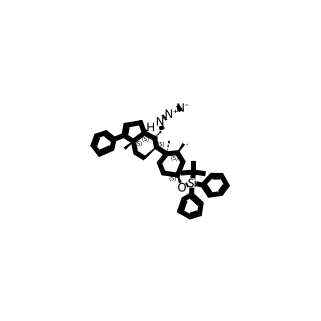 [CH2][C@H]1C[C@@H](O[Si](c2ccccc2)(c2ccccc2)C(C)(C)C)CC[C@@]1(C)[C@H]1CC[C@]2(C)C(c3ccccc3)=CC[C@H]2[C@@H]1CN=[N+]=[N-]